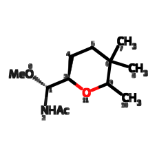 CO[C@@H](NC(C)=O)[C@H]1CCC(C)(C)C(C)O1